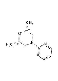 C[C@@H]1CN(c2ncccn2)C[C@H](C)O1